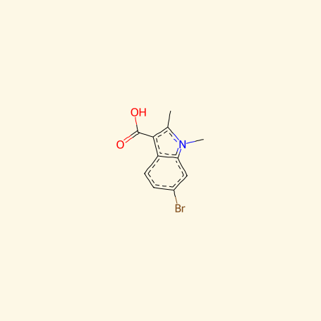 Cc1c(C(=O)O)c2ccc(Br)cc2n1C